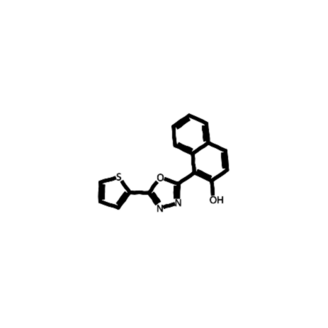 Oc1ccc2ccccc2c1-c1nnc(-c2cccs2)o1